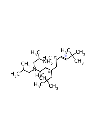 C=C(C[C@@H](C[C@H](C)/C=C/C(C)(C)C)CC(C)(C)C)N(CC(C)C)CC(C)N